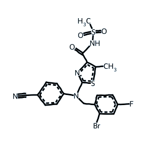 Cc1sc(N(Cc2ccc(F)cc2Br)c2ccc(C#N)cc2)nc1C(=O)NS(C)(=O)=O